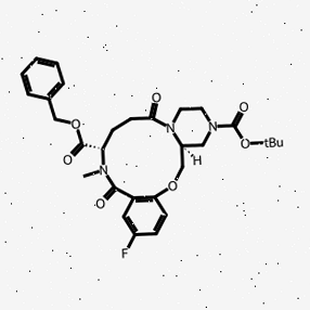 CN1C(=O)c2cc(F)ccc2OC[C@@H]2CN(C(=O)OC(C)(C)C)CCN2C(=O)CC[C@H]1C(=O)OCc1ccccc1